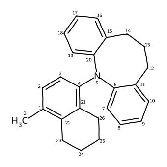 Cc1ccc(N2c3ccccc3CCCc3ccccc32)c2c1CCCC2